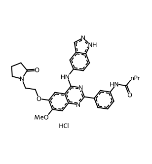 CCCC(=O)Nc1cccc(-c2nc(Nc3ccc4[nH]ncc4c3)c3cc(OCCN4CCCC4=O)c(OC)cc3n2)c1.Cl